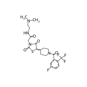 CN(C)CCNC(=O)CN1C(=O)SC(=C2CCN(C(=O)c3cc(F)ccc3C(F)(F)F)CC2)C1=O